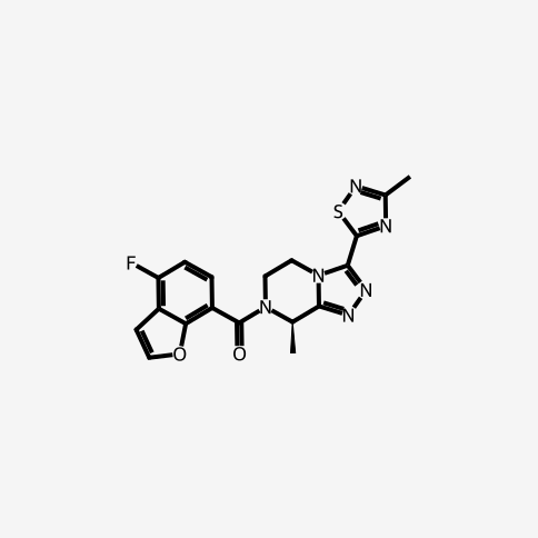 Cc1nsc(-c2nnc3n2CCN(C(=O)c2ccc(F)c4ccoc24)[C@@H]3C)n1